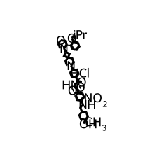 CC(C)Oc1ccccc1[C@@H]1COCCN1C1CC2(CCN(c3ccc(C(=O)NS(=O)(=O)c4ccc(NCC5CCC(C)(O)CC5)c([N+](=O)[O-])c4)cc3)CC2)C1.Cl